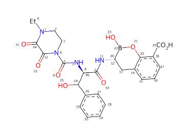 CCN1CCN(C(=O)N[C@@H](C(=O)N[C@H]2Cc3cccc(C(=O)O)c3OB2O)C(O)c2ccccc2)C(=O)C1=O